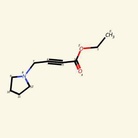 CCOC(=O)C#CCN1CCCC1